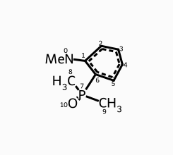 CNc1ccccc1P(C)(C)=O